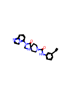 C#Cc1cccc(NC(=O)N2CCC3(CC2)NCN(c2cccc4nccn24)C3=O)c1